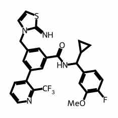 COc1cc(C(NC(=O)c2cc(Cn3ccsc3=N)cc(-c3cccnc3C(F)(F)F)c2)C2CC2)ccc1F